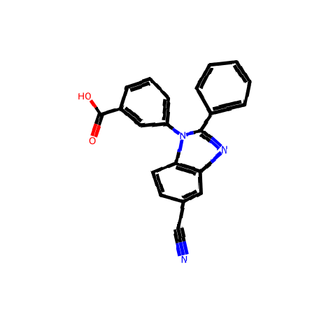 N#Cc1ccc2c(c1)nc(-c1ccccc1)n2-c1cccc(C(=O)O)c1